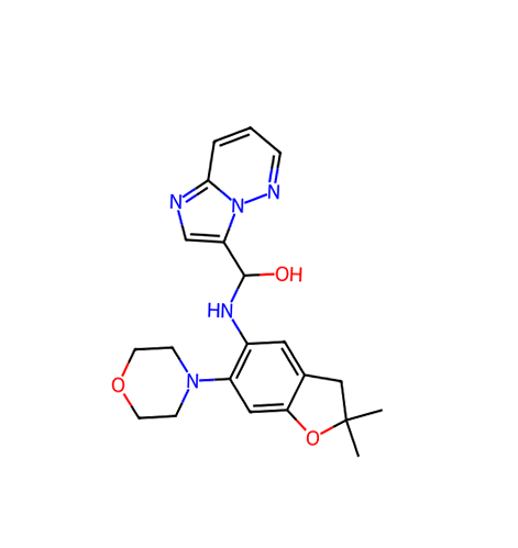 CC1(C)Cc2cc(NC(O)c3cnc4cccnn34)c(N3CCOCC3)cc2O1